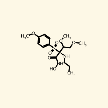 CCCN[C@](C(=O)NO)(C(COC)OC)S(=O)(=O)c1ccc(OC)cc1